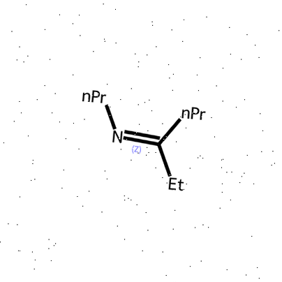 [CH2]C/C(CCC)=N/CCC